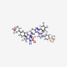 CCP(=O)(CC)c1ccc(-n2ccn(-c3c4c(nn3-c3cc(C)c(F)c(C)c3)CCN(C(=O)c3cc5cc(C6CCOC(C)(C)C6)ccc5n3[C@@]3(c5noc(=O)[nH]5)C[C@@H]3C)[C@H]4C)c2=O)cc1